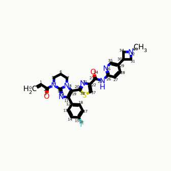 C=CC(=O)N1CCCn2c1nc(-c1ccc(F)cc1)c2-c1nc(C(=O)Nc2ccc(C3CN(C)C3)cn2)cs1